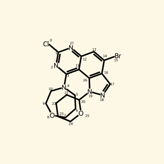 Clc1nc(N2CCCOCC2)c2c(cc(Br)c3cnn(C4CCCCO4)c32)n1